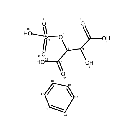 O=C(O)C(O)C(OS(=O)(=O)O)C(=O)O.c1ccccc1